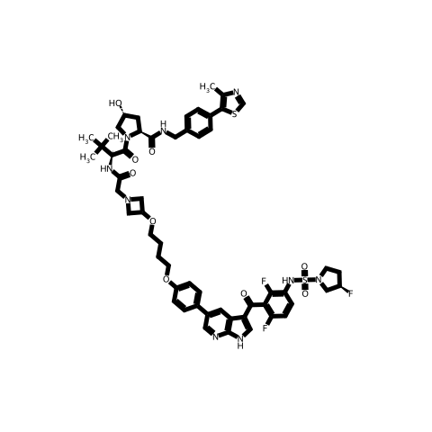 Cc1ncsc1-c1ccc(CNC(=O)[C@@H]2C[C@@H](O)CN2C(=O)[C@@H](NC(=O)CN2CC(OCCCCOc3ccc(-c4cnc5[nH]cc(C(=O)c6c(F)ccc(NS(=O)(=O)N7CC[C@@H](F)C7)c6F)c5c4)cc3)C2)C(C)(C)C)cc1